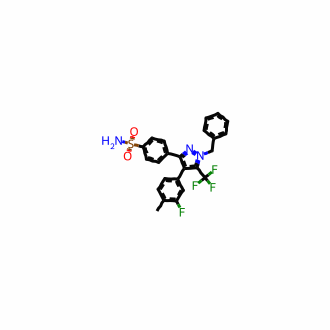 Cc1ccc(-c2c(-c3ccc(S(N)(=O)=O)cc3)nn(Cc3ccccc3)c2C(F)(F)F)cc1F